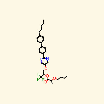 CCCCCc1ccc(-c2ccc(-c3ncc(OCC(OC(=O)C(C)OCCCC)C(F)(F)F)cn3)cc2)cc1